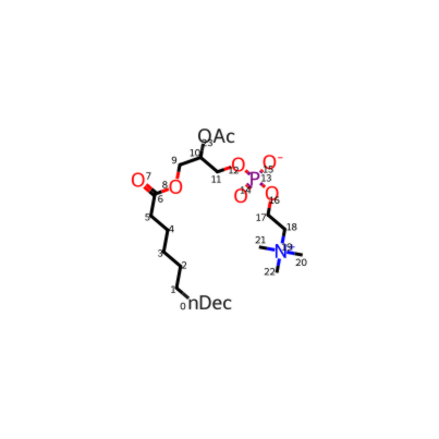 CCCCCCCCCCCCCCCC(=O)OCC(COP(=O)([O-])OCC[N+](C)(C)C)OC(C)=O